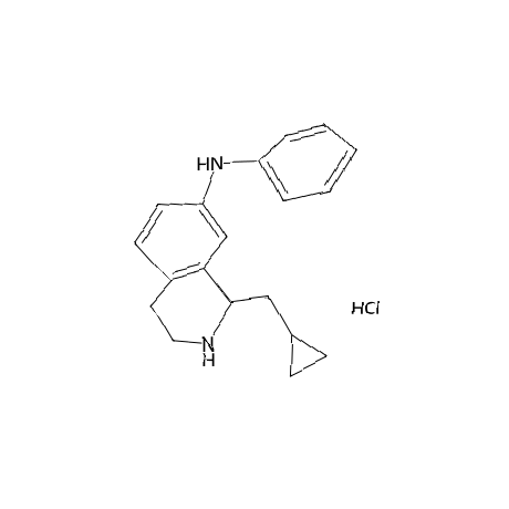 Cl.c1ccc(Nc2ccc3c(c2)C(CC2CC2)NCC3)cc1